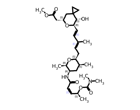 COC(=O)C[C@@H]1CC2(CC2)[C@H](O)[C@@H](/C=C/C(C)=C/C[C@@H]2O[C@H](C)[C@H](NC(=O)/C=C\[C@H](C)OC(=O)N(C)C)C[C@@H]2C)O1